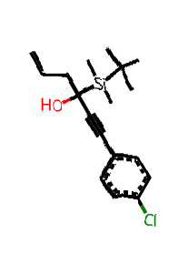 C=CCC(O)(C#Cc1ccc(Cl)cc1)[Si](C)(C)C(C)(C)C